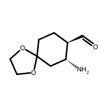 N[C@@H]1CC2(CC[C@H]1C=O)OCCO2